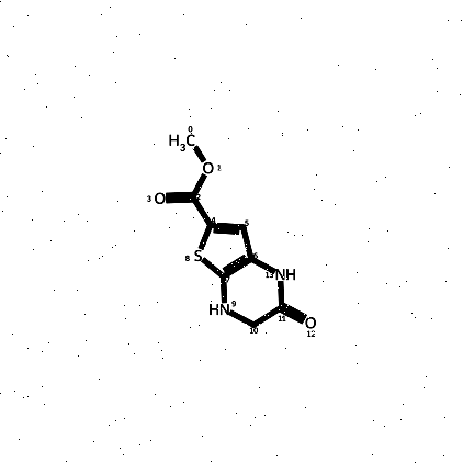 COC(=O)c1cc2c(s1)NCC(=O)N2